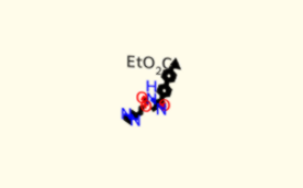 CCOC(=O)C1(c2ccc(-c3ccc(-c4onc(C)c4NC(=O)OCCc4cnccn4)cc3)cc2)CC1